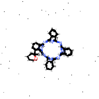 [SiH3]C1(c2cccc3c4nc5nc(nc6[nH]c(nc7nc(nc([nH]4)c23)-c2ccccc2-7)c2ccccc62)-c2ccccc2-5)CCCCO1